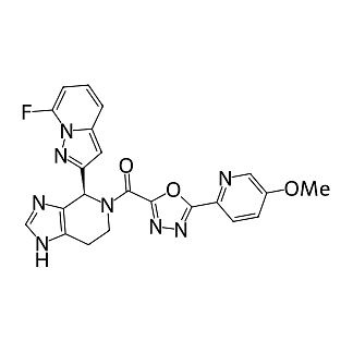 COc1ccc(-c2nnc(C(=O)N3CCc4[nH]cnc4[C@H]3c3cc4cccc(F)n4n3)o2)nc1